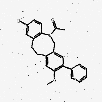 COc1cc2c(cc1-c1ccccc1)CN(C(C)=O)c1ccc(Cl)cc1CC2